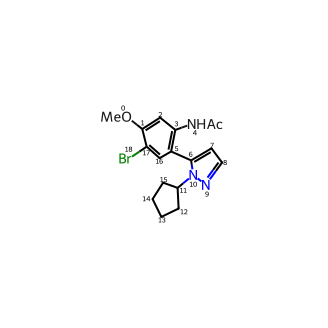 COc1cc(NC(C)=O)c(-c2ccnn2C2CCCC2)cc1Br